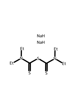 CCN(CC)C(=S)SC(=S)N(CC)CC.[NaH].[NaH]